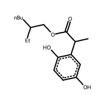 CCCCC(CC)COC(=O)C(C)c1cc(O)ccc1O